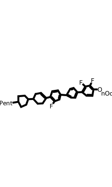 CCCCCCCCOc1ccc(-c2ccc(-c3ccc(C4=CCC(C5CCC(CCCCC)CC5)CC4)c(F)c3)cc2)c(F)c1F